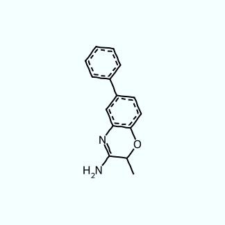 CC1Oc2ccc(-c3ccccc3)cc2N=C1N